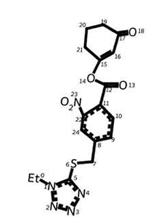 CCn1nnnc1SCc1ccc(C(=O)OC2=CC(=O)CCC2)c([N+](=O)[O-])c1